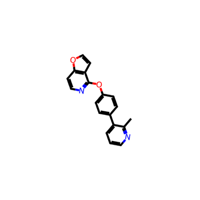 Cc1ncccc1-c1ccc(Oc2nccc3occc23)cc1